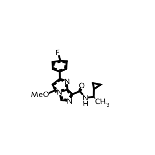 COc1cc(-c2ccc(F)cc2)nc2c(C(=O)N[C@@H](C)C3CC3)ncn12